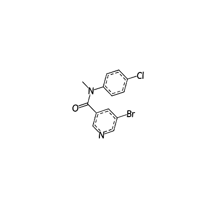 CN(C(=O)c1cncc(Br)c1)c1ccc(Cl)cc1